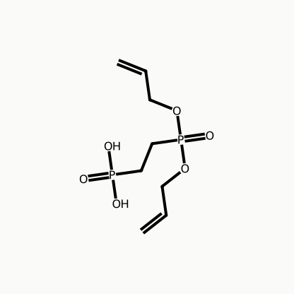 C=CCOP(=O)(CCP(=O)(O)O)OCC=C